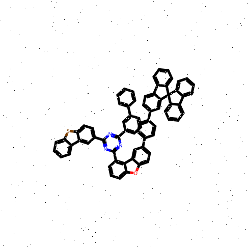 c1ccc(-c2cccc(-c3nc(-c4ccc5sc6ccccc6c5c4)nc(-c4cccc5oc6ccc(-c7ccc(-c8ccc9c(c8)C8(c%10ccccc%10-c%10ccccc%108)c8ccccc8-9)cc7)cc6c45)n3)c2)cc1